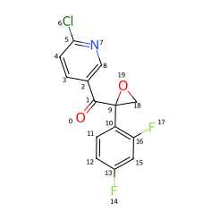 O=C(c1ccc(Cl)nc1)C1(c2ccc(F)cc2F)CO1